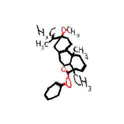 COC1(C(C)C)CCC2C(CCC3C(C)(C(=O)OC4CCCCC4)CCCC23C)C1